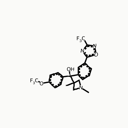 CN1CC(C)([C@](O)(c2ccc(OC(F)(F)F)cc2)c2cccc(-c3nc(C(F)(F)F)no3)c2)C1